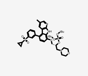 Cc1cnc2[nH]c3c(OC[C@@H](CN4CCOCC4)OP(=O)(OC(C)(C)C)OC(C)(C)C)ccc(-c4cccc(S(=O)(=O)C5CC5)c4)c3c2c1